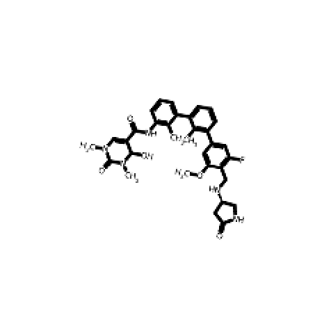 COc1cc(-c2cccc(-c3cccc(NC(=O)C4=CN(C)C(=O)N(C)C4O)c3C)c2C)cc(F)c1CN[C@H]1CNC(=O)C1